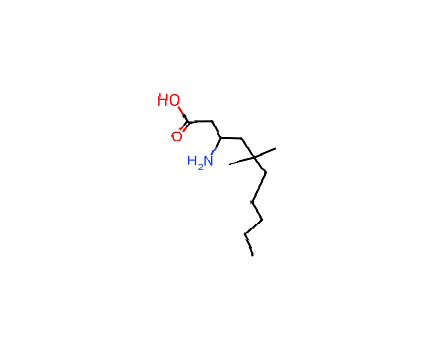 CCCCCC(C)(C)CC(N)CC(=O)O